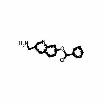 NCc1cnc2cc(OC(Cl)c3ccccc3)ccc2c1